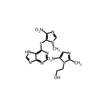 Cc1ncc([N+](=O)[O-])n1CCO.Cn1cnc([N+](=O)[O-])c1Sc1ncnc2nc[nH]c12